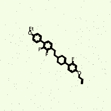 C=CCOc1ccc(C2=CCC(CCc3ccc(-c4ccc(OCC)cc4)c(F)c3F)CC2)c(F)c1